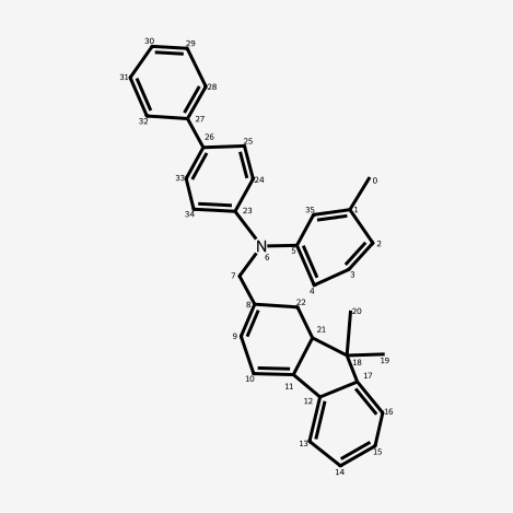 Cc1cccc(N(CC2=CC=C3c4ccccc4C(C)(C)C3C2)c2ccc(-c3ccccc3)cc2)c1